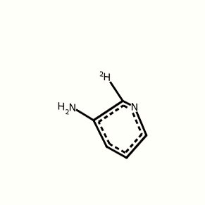 [2H]c1ncccc1N